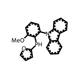 COc1cccc(-n2c3ccccc3c3ccccc32)c1Pc1ccco1